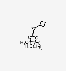 CC1(C)OB(C2CC2C2CCC2)OC1(C)C